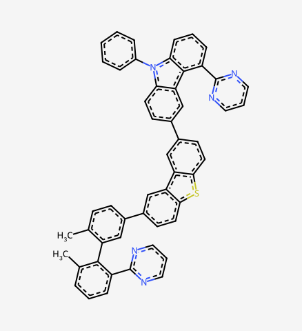 Cc1ccc(-c2ccc3sc4ccc(-c5ccc6c(c5)c5c(-c7ncccn7)cccc5n6-c5ccccc5)cc4c3c2)cc1-c1c(C)cccc1-c1ncccn1